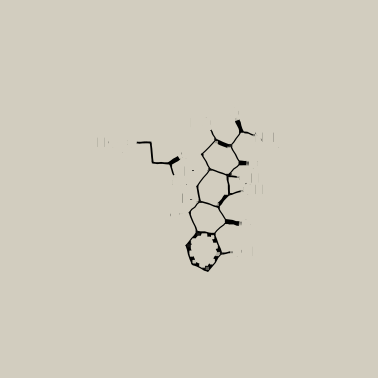 C[C@H]1c2cccc(O)c2C(=O)C2=C(O)C3(O)C(=O)C(C(N)=O)=C(O)C[C@@H]3[C@@H](OC(=O)CCC(=O)O)[C@@H]21